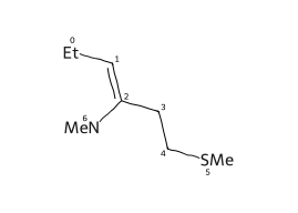 CC/C=C(/CCSC)NC